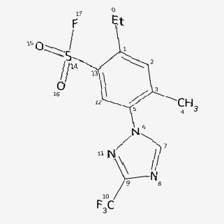 CCc1cc(C)c(-n2cnc(C(F)(F)F)n2)cc1S(=O)(=O)F